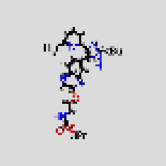 Cc1cccc(-c2nc(C(C)(C)C)[nH]c2-c2ccc3ncc(OCCNC(=O)OC(C)C)nc3c2)n1